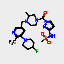 CC1CN(C(=O)n2ccc(NS(C)(=O)=O)n2)CCN1Cc1cnc(C(F)(F)F)c(N2CCC(F)CC2)c1